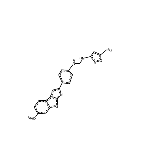 COc1ccc2c(c1)sc1nc(-c3ccc(NCNc4cc(C(C)(C)C)on4)cc3)cn12